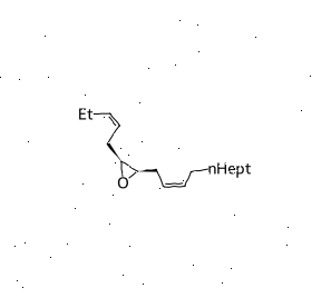 CC/C=C\C[C@@H]1O[C@@H]1C/C=C\CCCCCCCC